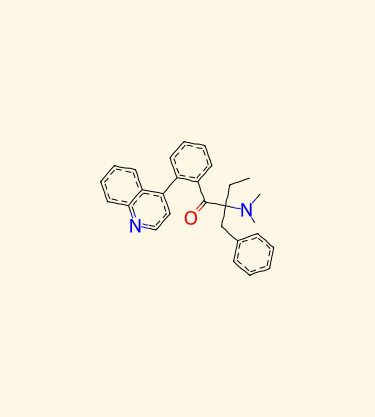 CCC(Cc1ccccc1)(C(=O)c1ccccc1-c1ccnc2ccccc12)N(C)C